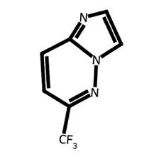 FC(F)(F)c1ccc2nccn2n1